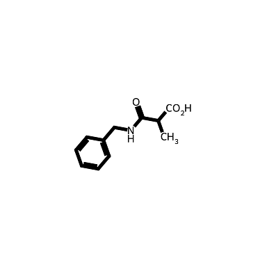 CC(C(=O)O)C(=O)NCc1ccccc1